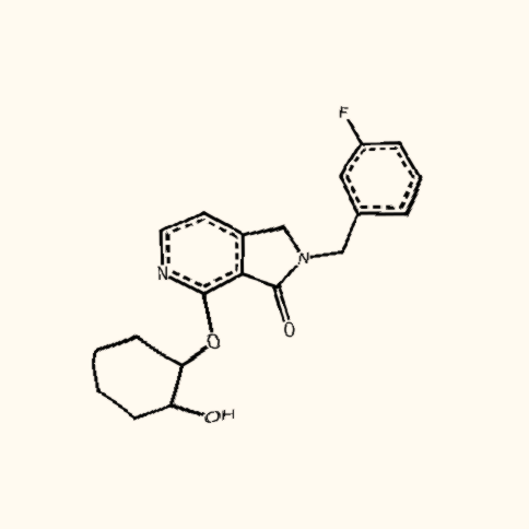 O=C1c2c(ccnc2OC2CCCCC2O)CN1Cc1cccc(F)c1